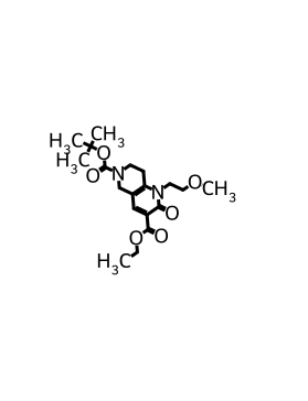 CCOC(=O)c1cc2c(n(CCOC)c1=O)CCN(C(=O)OC(C)(C)C)C2